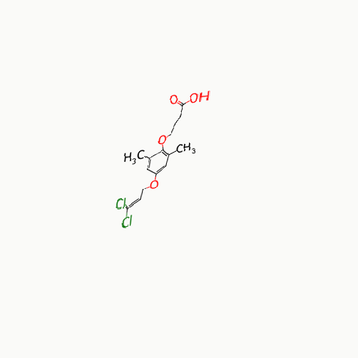 Cc1cc(OCC=C(Cl)Cl)cc(C)c1OCCCC(=O)O